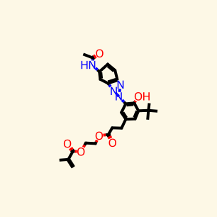 C=C(C)C(=O)OCCOC(=O)CCc1cc(-n2n3c4ccc(NC(C)=O)cc4n23)c(O)c(C(C)(C)C)c1